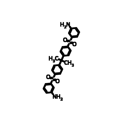 CC(C)(c1ccc(S(=O)(=O)c2cccc(N)c2)cc1)c1ccc(S(=O)(=O)c2cccc(N)c2)cc1